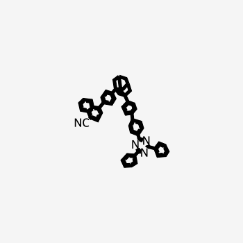 N#Cc1ccc(-c2ccc(C34CC5CC(CC(c6ccc(-c7ccc(-c8nc(-c9ccccc9)nc(-c9ccccc9)n8)cc7)cc6)(C5)C3)C4)cc2)c2ccccc12